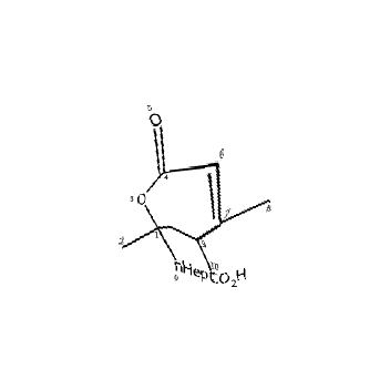 CCCCCCCC1(C)OC(=O)C=C(C)C1C(=O)O